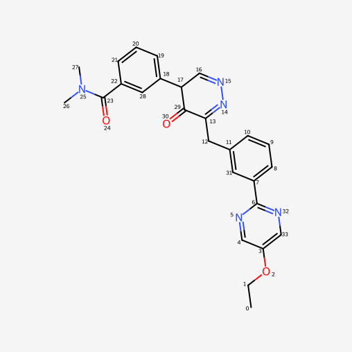 CCOc1cnc(-c2cccc(CC3=NN=CC(c4cccc(C(=O)N(C)C)c4)C3=O)c2)nc1